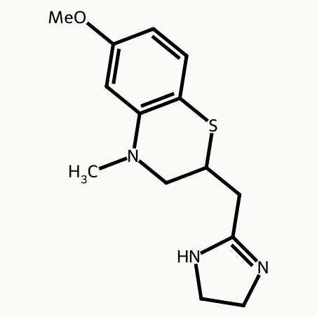 COc1ccc2c(c1)N(C)CC(CC1=NCCN1)S2